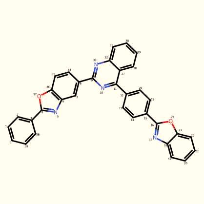 c1ccc(-c2nc3cc(-c4nc(-c5ccc(-c6nc7ccccc7o6)cc5)c5ccccc5n4)ccc3o2)cc1